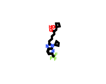 O=C(CCCCc1nc2ccc(C(F)(F)F)nc2n1C1CCC1)CC1(O)CCC1